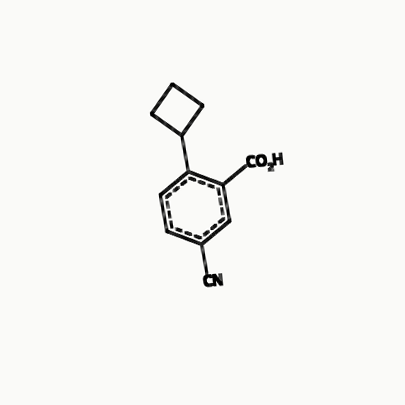 N#Cc1ccc(C2CCC2)c(C(=O)O)c1